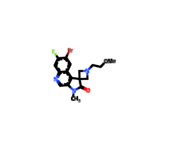 COCCN1CC2(C1)C(=O)N(C)c1cnc3cc(F)c(Br)cc3c12